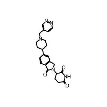 O=C1CCC(N2Cc3cc(C4CCN(Cc5ccnnc5)CC4)ccc3C2=O)C(=O)N1